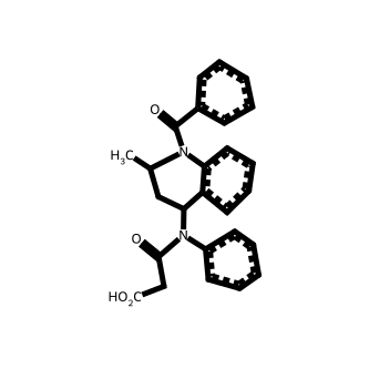 CC1CC(N(C(=O)CC(=O)O)c2ccccc2)c2ccccc2N1C(=O)c1ccccc1